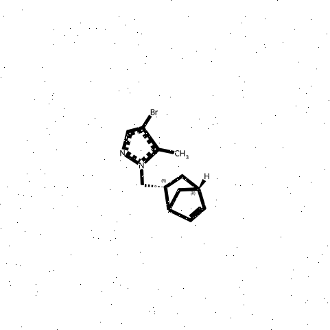 Cc1c(Br)cnn1C[C@@H]1C[C@@H]2C=CC1C2